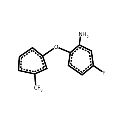 Nc1cc(F)ccc1Oc1cccc(C(F)(F)F)c1